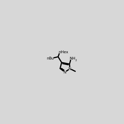 CCCCCCC(CCCC)c1cnn(C)c1N